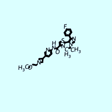 COCCN1CC(c2ccc(NC(=O)c3csc(-c4c(-c5ccc(F)cc5)ncn4C(C)C)n3)nc2)C1